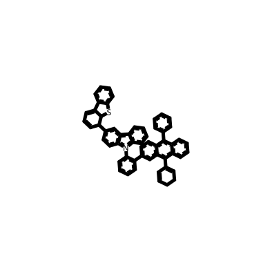 C1=CC(c2ccc3c(c2)c2ccccc2n3-c2ccccc2-c2ccc3c(-c4ccccc4)c4ccccc4c(C4=CCCC=C4)c3c2)C2Sc3ccccc3C2=C1